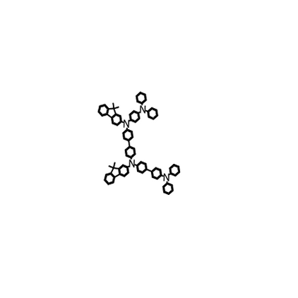 CC1(C)c2ccccc2-c2ccc(N(c3ccc(-c4ccc(N(c5ccccc5)c5ccccc5)cc4)cc3)c3ccc(-c4ccc(N(c5ccc(N(c6ccccc6)c6ccccc6)cc5)c5ccc6c(c5)C(C)(C)c5ccccc5-6)cc4)cc3)cc21